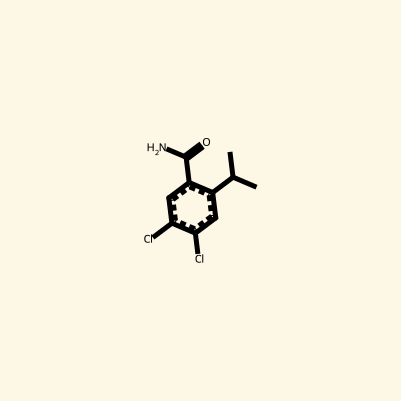 CC(C)c1cc(Cl)c(Cl)cc1C(N)=O